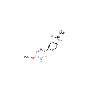 CCCCOc1ccc(-c2ccc3nc(NC)sc3c2)cn1